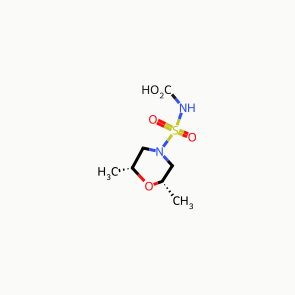 C[C@@H]1CN(S(=O)(=O)NC(=O)O)C[C@H](C)O1